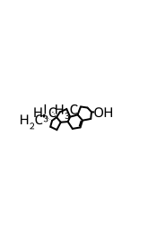 C=C(I)[C@H]1CCC2C3CC=C4CC(O)CC[C@]4(C)C3CC[C@@]21C